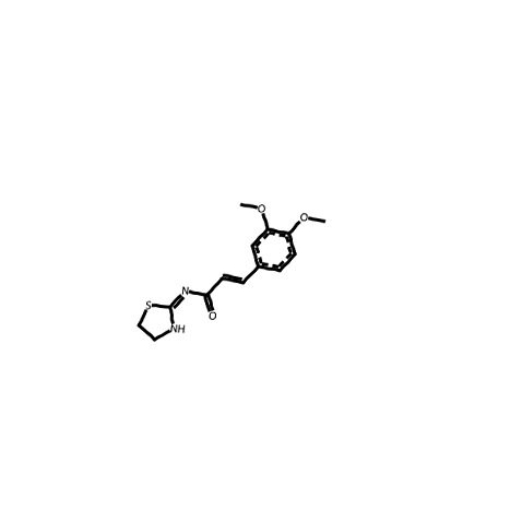 COc1ccc(C=CC(=O)N=C2NCCS2)cc1OC